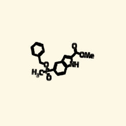 COC(=O)c1cc2cc(P(C)(=O)OCc3ccccc3)ccc2[nH]1